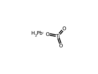 [O]=[Ti](=[O])=[O].[PbH2]